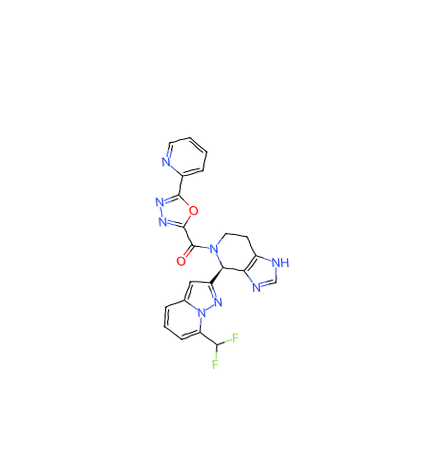 O=C(c1nnc(-c2ccccn2)o1)N1CCc2[nH]cnc2[C@H]1c1cc2cccc(C(F)F)n2n1